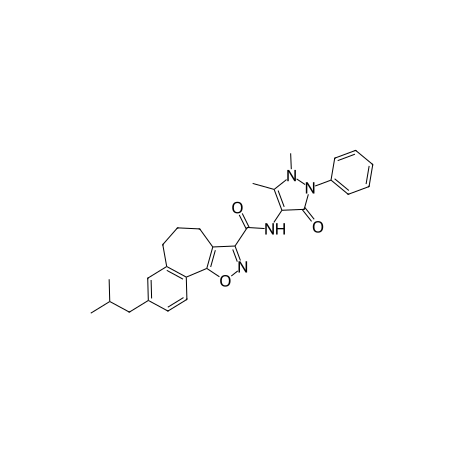 Cc1c(NC(=O)c2noc3c2CCCc2cc(CC(C)C)ccc2-3)c(=O)n(-c2ccccc2)n1C